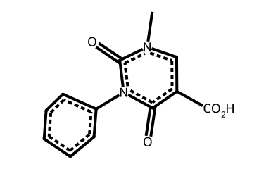 Cn1cc(C(=O)O)c(=O)n(-c2ccccc2)c1=O